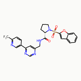 O=C(NCc1cc(-c2ccc(C(F)(F)F)nc2)ncn1)[C@@H]1CCCN1S(=O)(=O)c1cc2ccccc2o1